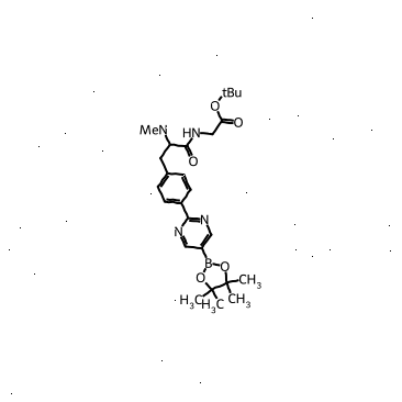 CNC(Cc1ccc(-c2ncc(B3OC(C)(C)C(C)(C)O3)cn2)cc1)C(=O)NCC(=O)OC(C)(C)C